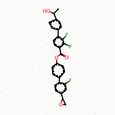 CC(O)c1ccc(-c2ccc(C(=O)Oc3ccc(-c4ccc(C5CO5)cc4F)cc3)c(F)c2F)cc1